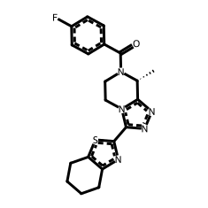 C[C@@H]1c2nnc(-c3nc4c(s3)CCCC4)n2CCN1C(=O)c1ccc(F)cc1